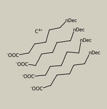 CCCCCCCCCCCCCCCC(=O)[O-].CCCCCCCCCCCCCCCC(=O)[O-].CCCCCCCCCCCCCCCC(=O)[O-].CCCCCCCCCCCCCCCC(=O)[O-].[C+4]